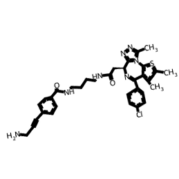 Cc1sc2c(c1C)C(c1ccc(Cl)cc1)=N[C@@H](CC(=O)NCCCCNC(=O)c1ccc(C#CCN)cc1)c1nnc(C)n1-2